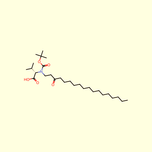 CCCCCCCCCCCCCCCC(=O)CCN(C(=O)OC(C)(C)C)[C@H](C(=O)O)C(C)C